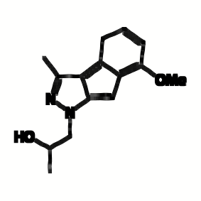 COC1=C2C=c3c(c(C)nn3CC(C)O)=C2CC=C1